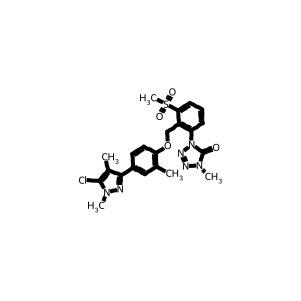 Cc1cc(-c2nn(C)c(Cl)c2C)ccc1OCc1c(-n2nnn(C)c2=O)cccc1S(C)(=O)=O